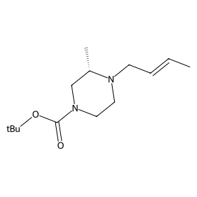 CC=CCN1CCN(C(=O)OC(C)(C)C)C[C@@H]1C